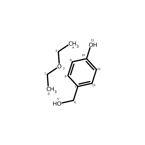 CCOCC.OCc1ccc(O)cc1